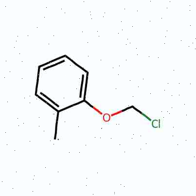 [CH2]c1ccccc1OCCl